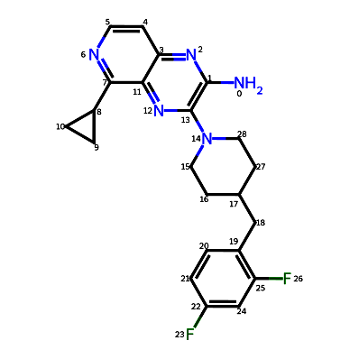 Nc1nc2ccnc(C3CC3)c2nc1N1CCC(Cc2ccc(F)cc2F)CC1